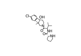 CC(C)[C@@H](NC(=O)[C@H]1CCCCN1)C(=O)N1CC[C@](O)(c2ccc(Cl)cc2)C(C)(C)C1